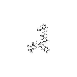 CCNC(=O)[C@@H](NC(=O)[C@H](C)NC[C@H](Cc1ccccc1)NC(=O)c1cccc(C(=O)NCCc2ccccc2OCC)c1)C(C)C